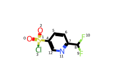 O=S(=O)(Cl)c1ccc(C(F)F)nc1